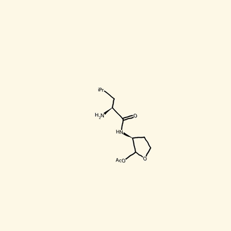 CC(=O)OC1OCC[C@@H]1NC(=O)[C@@H](N)CC(C)C